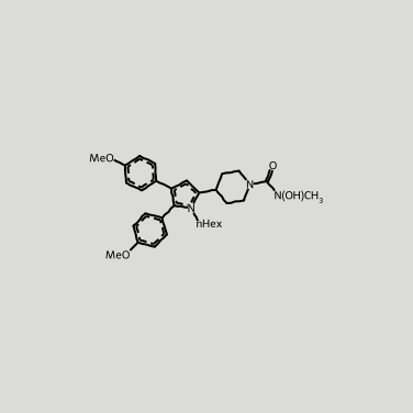 CCCCCCn1c(C2CCN(C(=O)N(C)O)CC2)cc(-c2ccc(OC)cc2)c1-c1ccc(OC)cc1